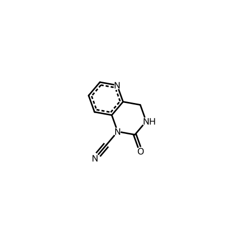 N#CN1C(=O)NCc2ncccc21